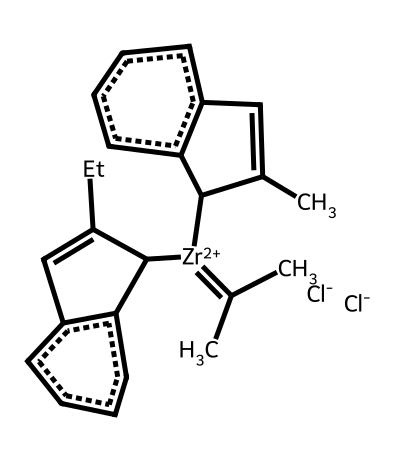 CCC1=Cc2ccccc2[CH]1[Zr+2](=[C](C)C)[CH]1C(C)=Cc2ccccc21.[Cl-].[Cl-]